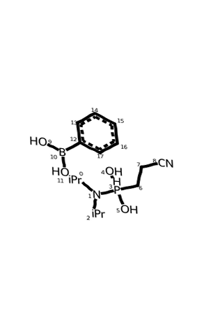 CC(C)N(C(C)C)[PH](O)(O)CCC#N.OB(O)c1ccccc1